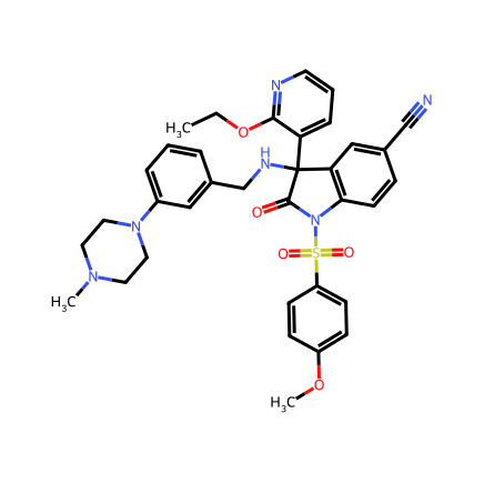 CCOc1ncccc1C1(NCc2cccc(N3CCN(C)CC3)c2)C(=O)N(S(=O)(=O)c2ccc(OC)cc2)c2ccc(C#N)cc21